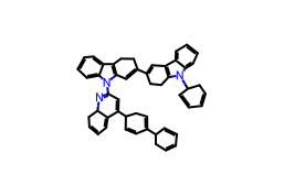 C1=CCC(C2=CCC(C3=CC(n4c5c(c6ccccc64)CCC(C4=Cc6c(n(C7C=CC=CC7)c7ccccc67)CC4)=C5)=NC4CC=CC=C34)C=C2)C=C1